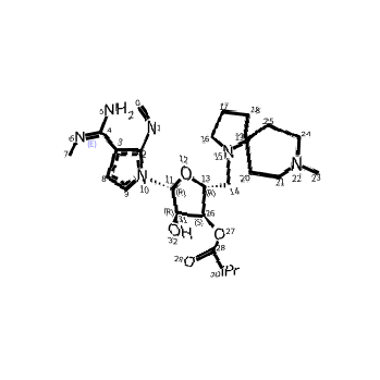 C=Nc1c(/C(N)=N\C)ccn1[C@@H]1O[C@H](CN2CCCC23CCN(C)CC3)[C@@H](OC(=O)C(C)C)[C@H]1O